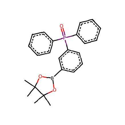 CC1(C)OB(c2cccc(P(=O)(c3ccccc3)c3ccccc3)c2)OC1(C)C